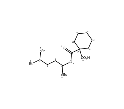 CCCCC(CCC(CC)CCC)OC(=O)C1(C(=O)O)CCCCC1